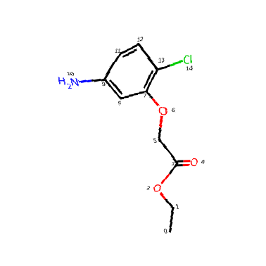 CCOC(=O)COc1cc(N)ccc1Cl